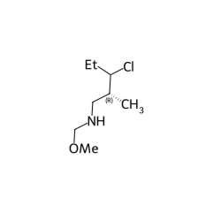 CCC(Cl)[C@H](C)CNCOC